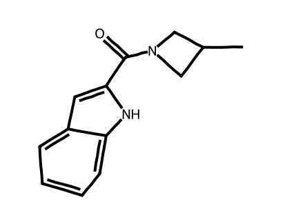 CC1CN(C(=O)c2cc3ccccc3[nH]2)C1